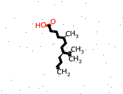 C=CCC[C@@H](CC[C@@H](C)CCCC(=O)O)C(=C)C